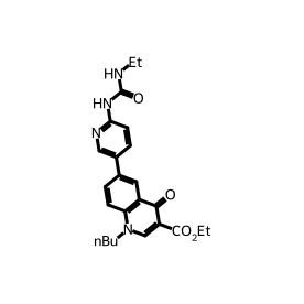 CCCCn1cc(C(=O)OCC)c(=O)c2cc(-c3ccc(NC(=O)NCC)nc3)ccc21